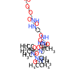 CC[C@H](C)[C@@H]([C@@H](CC(=O)N1CCC[C@H]1[C@H](OC)[C@@H](C)C(=O)NCC(=O)NOCc1ccc(NC(=O)CNC(=O)CCOCCOCCC(=O)O)cc1)OC)N(C)C(=O)CNC(=O)C(C(C)C)N(C)C